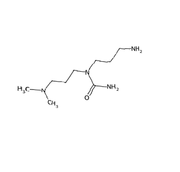 CN(C)CCCN(CCCN)C(N)=O